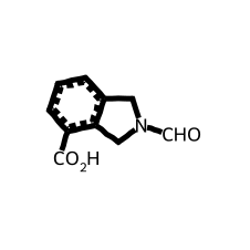 O=CN1Cc2cccc(C(=O)O)c2C1